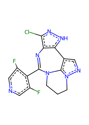 Fc1cncc(F)c1C1=Nc2c(Cl)n[nH]c2-c2cnn3c2N1CCC3